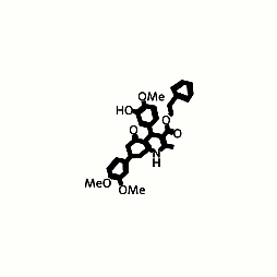 COc1ccc(C2C(C(=O)OCCc3ccccc3)=C(C)NC3=C2C(=O)CC(c2ccc(OC)c(OC)c2)C3)cc1O